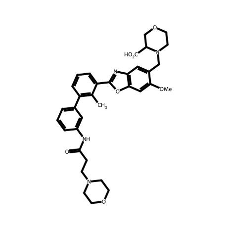 COc1cc2oc(-c3cccc(-c4cccc(NC(=O)CCN5CCOCC5)c4)c3C)nc2cc1CN1CCOCC1C(=O)O